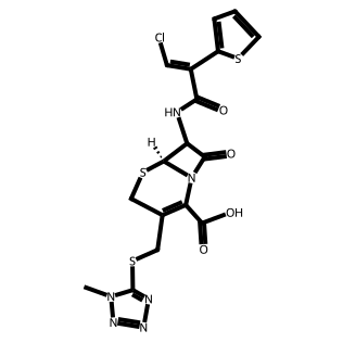 Cn1nnnc1SCC1=C(C(=O)O)N2C(=O)C(NC(=O)C(=CCl)c3cccs3)[C@@H]2SC1